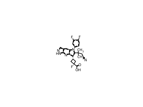 CC(C)(CC#N)c1c([C@H]2C[C@](F)(C(=O)O)C2)c2nc3[nH]ncc3cc2n1-c1ccc(F)c(F)c1